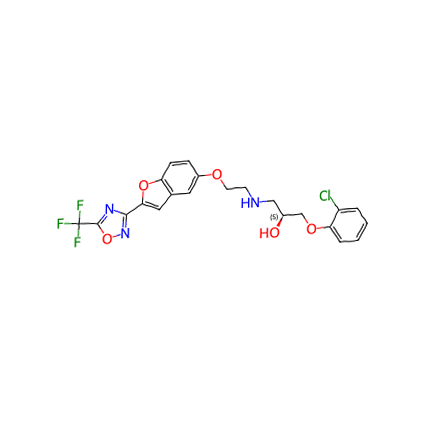 O[C@@H](CNCCOc1ccc2oc(-c3noc(C(F)(F)F)n3)cc2c1)COc1ccccc1Cl